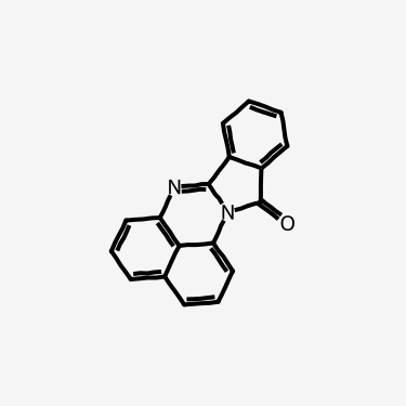 O=C1c2ccccc2C2=Nc3cccc4cccc(c34)N12